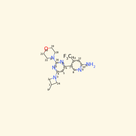 CC1CN(c2cc(-c3cnc(N)cc3C(F)(F)F)nc(N3CCOCC3)n2)C1